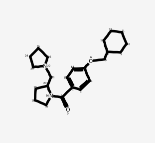 O=C(c1ccc(OCC2CCCCC2)cc1)N1CCCC1CN1CCCC1